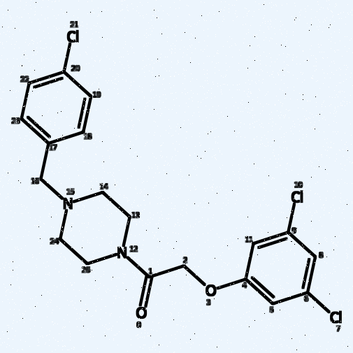 O=C(COc1cc(Cl)cc(Cl)c1)N1CCN(Cc2ccc(Cl)cc2)CC1